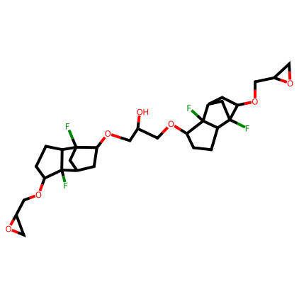 OC(COC1CC2CC1(F)C1CCC(OCC3CO3)C21F)COC1CCC2C3(F)CC(CC3OCC3CO3)C12F